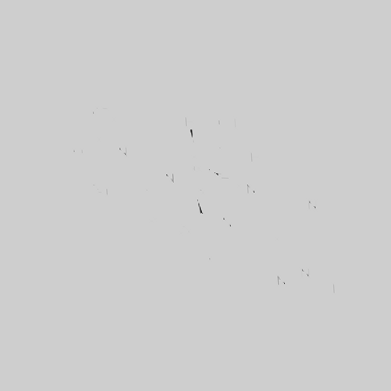 C#Cc1nn(C)c2cncc(C(C#N)NC(=O)[C@@H]3[C@@H]4[C@H](CN3C(=O)[C@@H](NC(=O)C(F)(F)F)C(C)(C)C)C4(C)C)c12